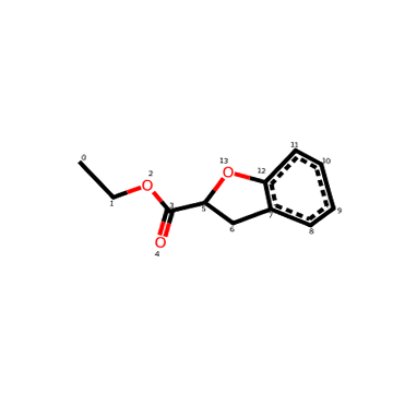 CCOC(=O)C1Cc2ccccc2O1